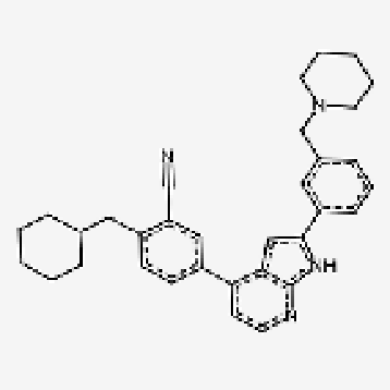 N#Cc1cc(-c2ccnc3[nH]c(-c4cccc(CN5CCCCC5)c4)cc23)ccc1CC1CCCCC1